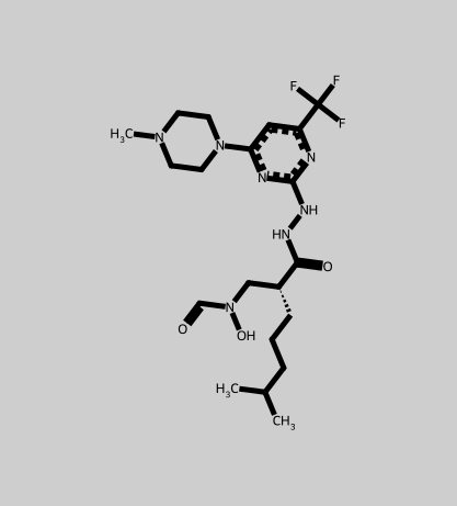 CC(C)CCC[C@H](CN(O)C=O)C(=O)NNc1nc(N2CCN(C)CC2)cc(C(F)(F)F)n1